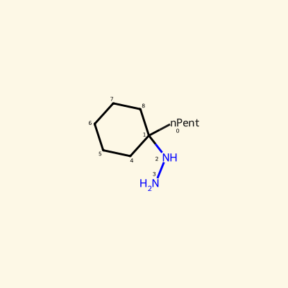 CCCCCC1(NN)CCCCC1